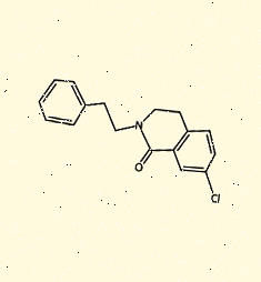 O=C1c2cc(Cl)ccc2CCN1CCc1ccccc1